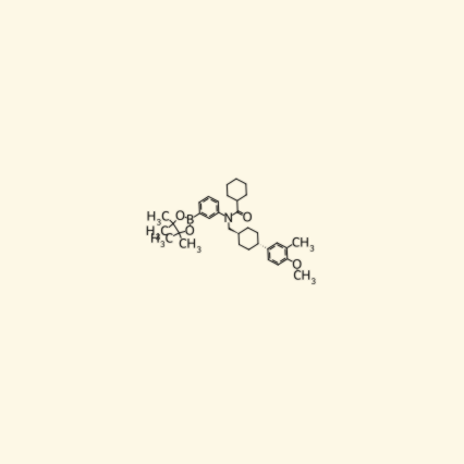 COc1ccc([C@H]2CC[C@H](CN(C(=O)C3CCCCC3)c3cccc(B4OC(C)(C)C(C)(C)O4)c3)CC2)cc1C